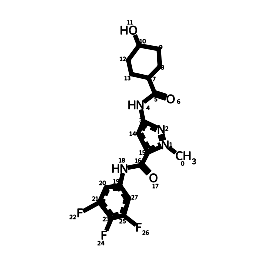 Cn1nc(NC(=O)C2CCC(O)CC2)cc1C(=O)Nc1cc(F)c(F)c(F)c1